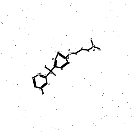 Cc1ccnc(C(C)(C)c2ccc(OCCCN(C)C)cc2)c1